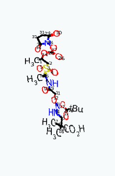 CC(CS(=O)(=O)C(C)NC(=O)CON(NCC(C)(C)C(=O)O)OC(=O)C(C)(C)C)OC(=O)ON1C(=O)CCC1=O